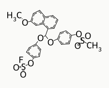 COc1ccc2cccc(C(Oc3ccc(OS(C)(=O)=O)cc3)Oc3ccc(OS(=O)(=O)F)cc3)c2c1